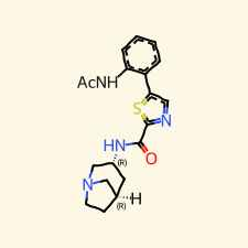 CC(=O)Nc1ccccc1-c1cnc(C(=O)N[C@@H]2C[C@H]3CCN(C3)C2)s1